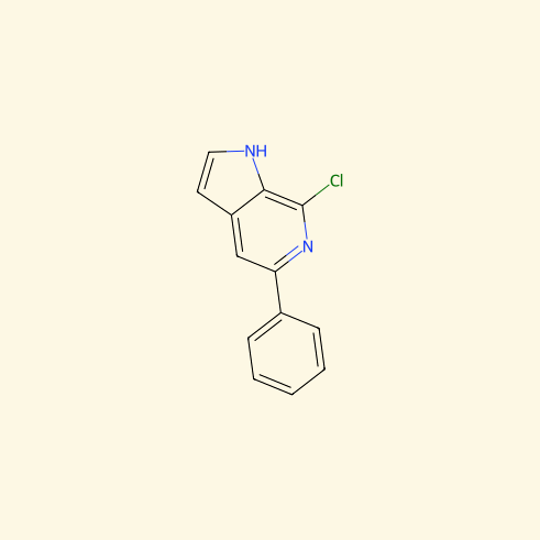 Clc1nc(-c2ccccc2)cc2cc[nH]c12